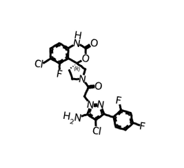 Nc1c(Cl)c(-c2ccc(F)cc2F)nn1CC(=O)N1CC[C@@]2(C1)OC(=O)Nc1ccc(Cl)c(F)c12